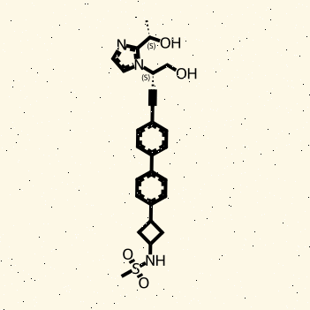 C[C@H](O)c1nccn1[C@@H](C#Cc1ccc(-c2ccc(C3CC(NS(C)(=O)=O)C3)cc2)cc1)CO